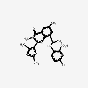 Cc1cc(C(C)Nc2ccc(Cl)nc2C(=O)O)c2nc(-c3sc(C)nc3C)n(C)c(=O)c2c1